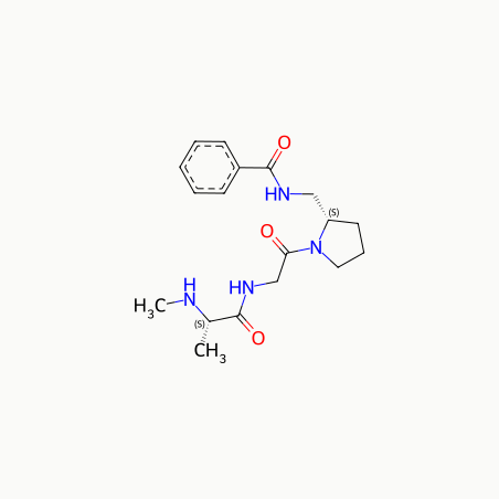 CN[C@@H](C)C(=O)NCC(=O)N1CCC[C@H]1CNC(=O)c1ccccc1